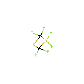 FC1(F)SC(F)(F)S1(F)F